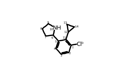 Clc1cccc(C2CCCN2)c1C1CC1